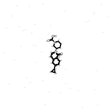 O=C(O)N1CCC[C@@H](n2ccc3cc(C4CC4)ccc3c2=O)C1